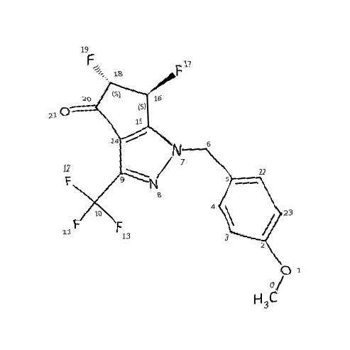 COc1ccc(Cn2nc(C(F)(F)F)c3c2[C@H](F)[C@@H](F)C3=O)cc1